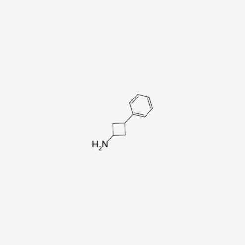 NC1CC(c2ccccc2)C1